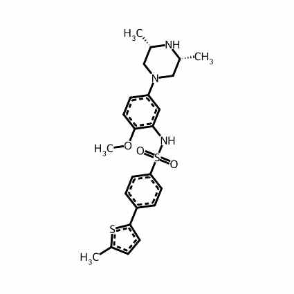 COc1ccc(N2C[C@@H](C)N[C@@H](C)C2)cc1NS(=O)(=O)c1ccc(-c2ccc(C)s2)cc1